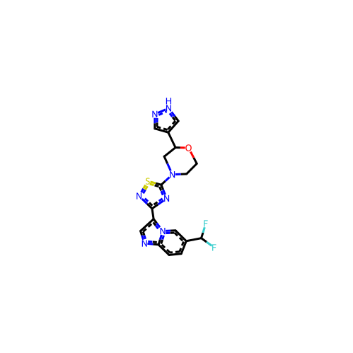 FC(F)c1ccc2ncc(-c3nsc(N4CCOC(c5cn[nH]c5)C4)n3)n2c1